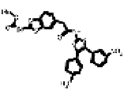 Cc1ccc(-c2nc(NC(=O)Cc3ccc4nc(NC(=O)OC(C)(C)C)sc4c3)sc2-c2cccc([N+](=O)[O-])c2)cc1